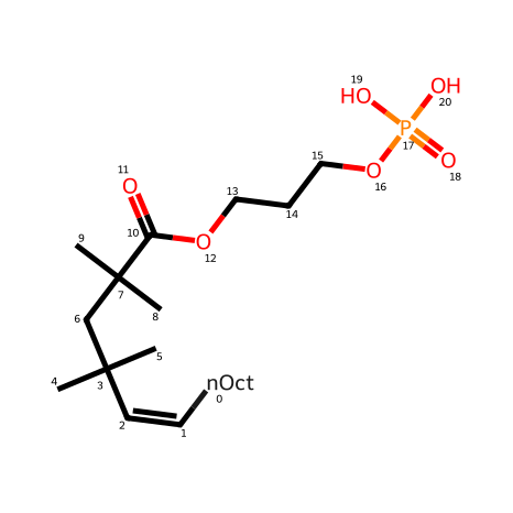 CCCCCCCC/C=C\C(C)(C)CC(C)(C)C(=O)OCCCOP(=O)(O)O